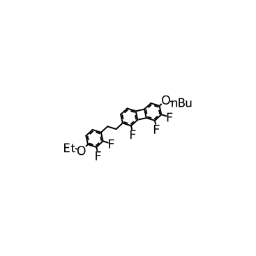 CCCCOc1cc2c(c(F)c1F)-c1c-2ccc(CCc2ccc(OCC)c(F)c2F)c1F